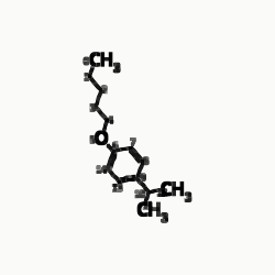 CCCCCOc1ccc(C(C)C)cc1